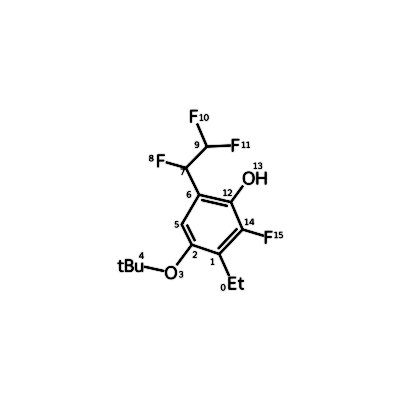 CCc1c(OC(C)(C)C)cc(C(F)C(F)F)c(O)c1F